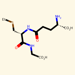 CCSC[C@H](NC(=O)CC[C@H](N)C(=O)O)C(=O)NCC(=O)O